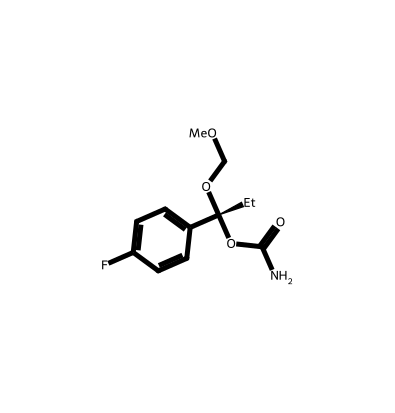 CC[C@@](OCOC)(OC(N)=O)c1ccc(F)cc1